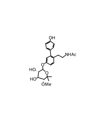 CO[C@@H]1[C@@H](O)[C@H](O)C(Oc2ccc(CCNC(C)=O)c(-c3ccc(O)cc3)c2)OC1(C)C